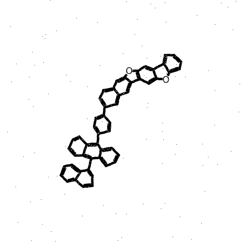 c1ccc2c(-c3c4ccccc4c(-c4ccc(-c5ccc6cc7oc8cc9c(cc8c7cc6c5)oc5ccccc59)cc4)c4ccccc34)cccc2c1